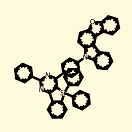 c1ccc(-c2nc(-c3ccc(-n4c5ccccc5c5c6c(ccc54)oc4ccccc46)cc3)c3c(n2)-c2ccccc2[Si]3(c2ccccc2)c2ccccc2)cc1